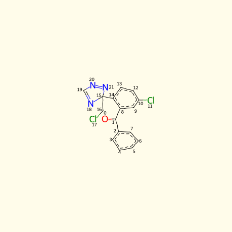 O=C(c1ccccc1)c1cc(Cl)ccc1C1(CCl)N=CN=N1